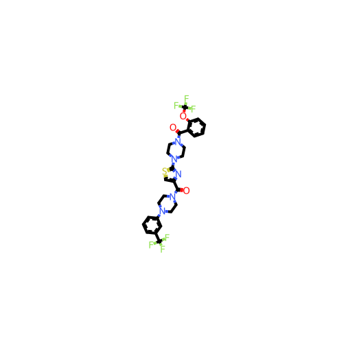 O=C(c1csc(N2CCN(C(=O)c3ccccc3OC(F)(F)F)CC2)n1)N1CCN(c2cccc(C(F)(F)F)c2)CC1